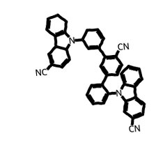 N#CC1=CC2C3=C(CCC=C3)N(C3C=C(c4cc(-c5ccccc5-n5c6ccccc6c6ccc(C#N)cc65)ccc4C#N)C=CC3)C2C=C1